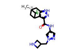 C[C@@]12Cc3[nH]nc(C(=O)Nc4cnn(CC5CNC5)c4)c3C(C1)C2(F)F